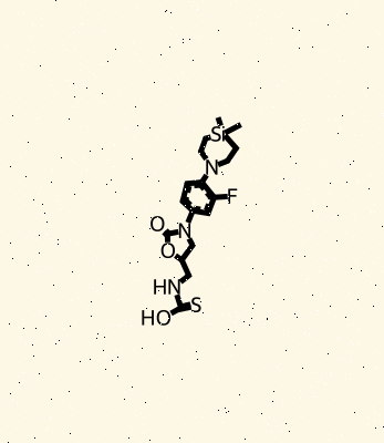 C[Si]1(C)CCN(c2ccc(N3CC(CNC(O)=S)OC3=O)cc2F)CC1